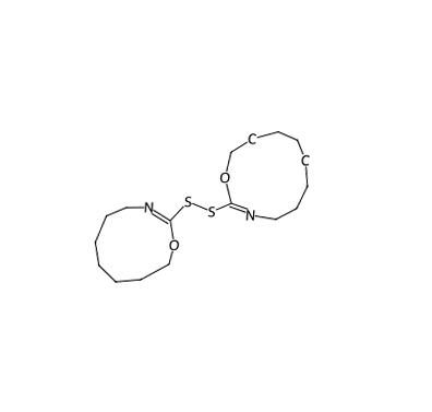 C1CCCCO/C(SS/C2=N/CCCCCCCO2)=N\CCC1